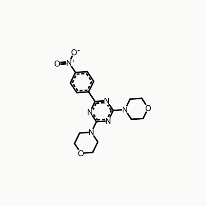 O=[N+]([O-])c1ccc(-c2nc(N3CCOCC3)nc(N3CCOCC3)n2)cc1